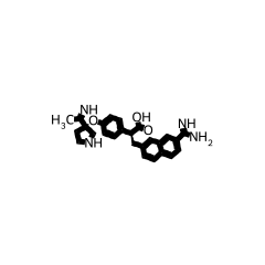 CC(=N)[C@]1(Oc2ccc([C@H](Cc3ccc4ccc(C(=N)N)cc4c3)C(=O)O)cc2)CCNC1